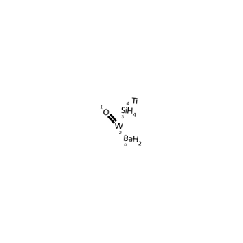 [BaH2].[O]=[W].[SiH4].[Ti]